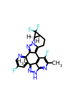 Cc1nc2[nH]nc(C)c2c(-c2c(-c3ccc(F)cn3)nn3c2CC[C@H]2[C@@H]3C2(F)F)c1F